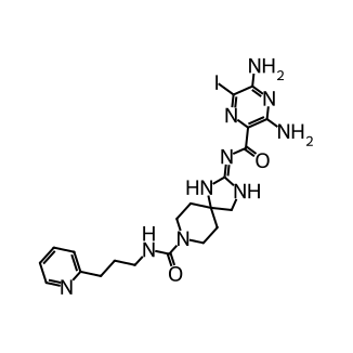 Nc1nc(N)c(C(=O)/N=C2\NCC3(CCN(C(=O)NCCCc4ccccn4)CC3)N2)nc1I